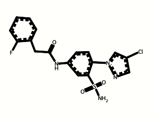 NS(=O)(=O)c1cc(NC(=O)Cc2ccccc2F)ccc1-n1cc(Cl)cn1